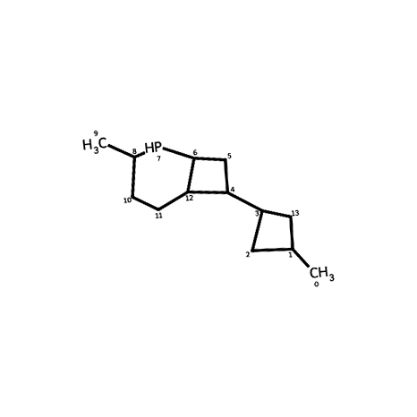 CC1CC(C2CC3PC(C)CCC32)C1